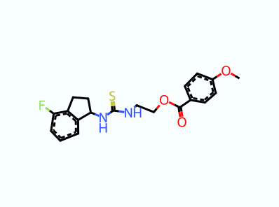 COc1ccc(C(=O)OCCNC(=S)NC2CCc3c(F)cccc32)cc1